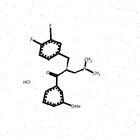 COc1cccc(C(=O)[C@@H](Cc2ccc(F)c(F)c2)CN(C)C)c1.Cl